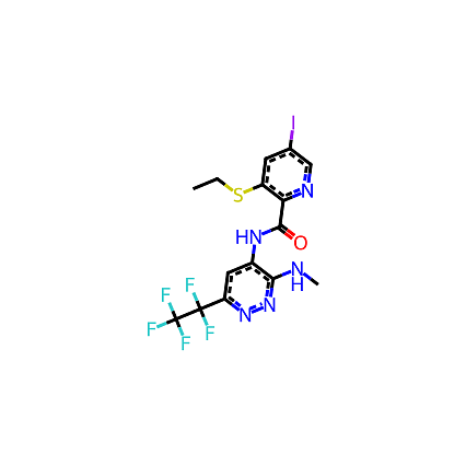 CCSc1cc(I)cnc1C(=O)Nc1cc(C(F)(F)C(F)(F)F)nnc1NC